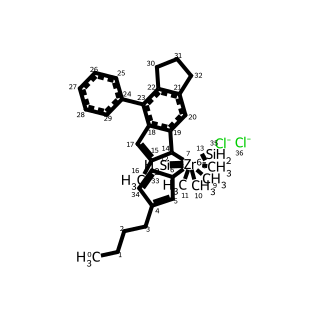 CCCCC1=C[CH]([Zr-6]([CH3])([CH3])([CH3])([CH3])(=[SiH2])(=[SiH2])[CH]2C(C)=Cc3c2cc2c(c3-c3ccccc3)CCC2)C=C1.[Cl-].[Cl-]